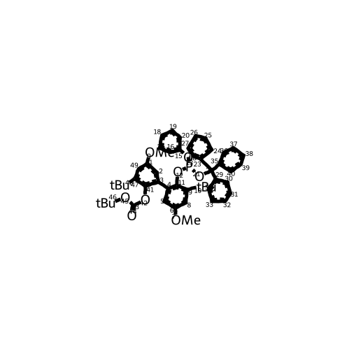 COc1cc(-c2cc(OC)cc(C(C)(C)C)c2OP(Oc2ccccc2)OC(c2ccccc2)(c2ccccc2)c2ccccc2)c(OC(=O)OC(C)(C)C)c(C(C)(C)C)c1